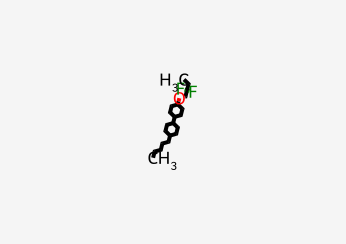 CCCCCC1CCC(C2CCC(OCC(F)(F)CC)CC2)CC1